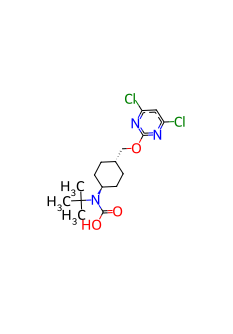 CC(C)(C)N(C(=O)O)[C@H]1CC[C@H](COc2nc(Cl)cc(Cl)n2)CC1